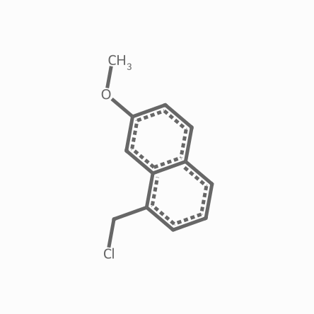 COc1ccc2cccc(CCl)c2c1